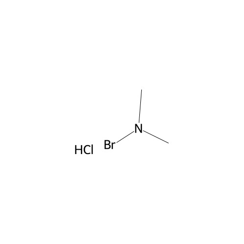 CN(C)Br.Cl